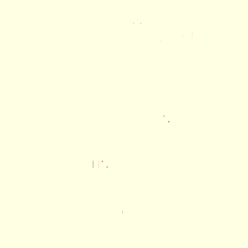 CC(C)C(=O)NCc1ccc(B(O)O)cn1